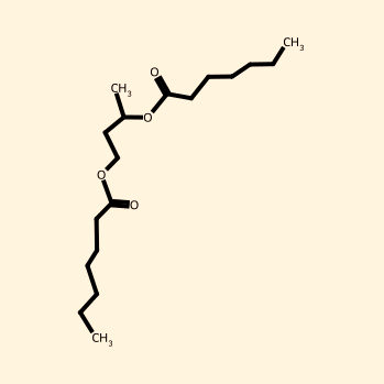 CCCCCCC(=O)OCCC(C)OC(=O)CCCCCC